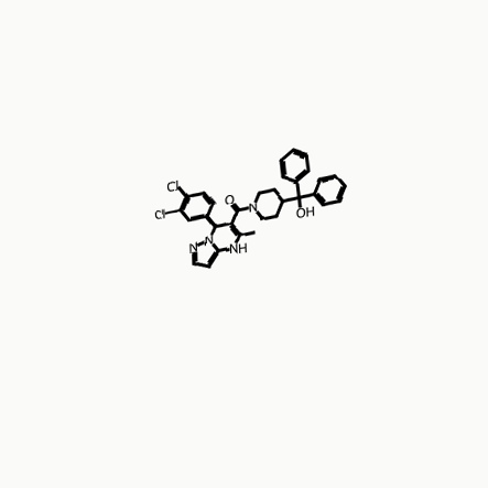 CC1=C(C(=O)N2CCC(C(O)(c3ccccc3)c3ccccc3)CC2)C(c2ccc(Cl)c(Cl)c2)n2nccc2N1